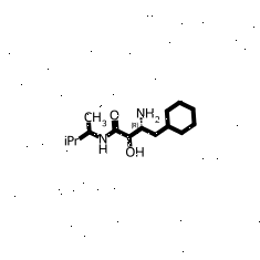 CC(C)C(C)NC(=O)C(O)[C@H](N)CC1CCCCC1